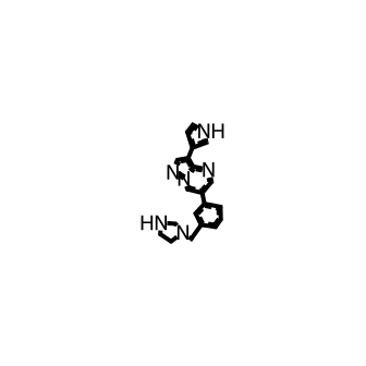 c1cc(CN2CCNC2)cc(-c2cnc3c(-c4cc[nH]c4)cnn3c2)c1